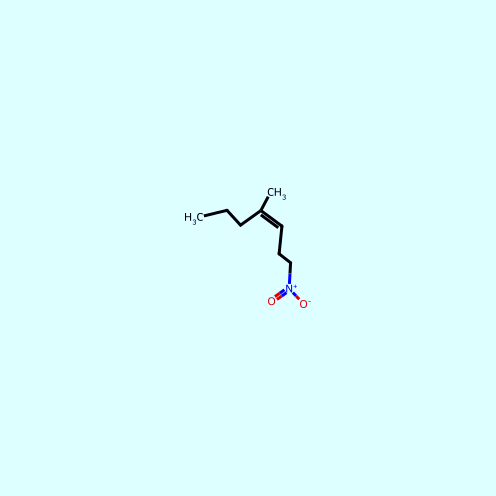 CCC/C(C)=C\CC[N+](=O)[O-]